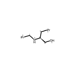 CC(C)CN[C@H](CO)CC(C)C